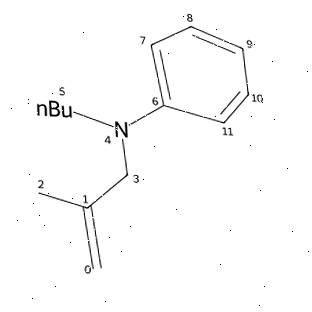 C=C(C)CN(CCCC)c1ccccc1